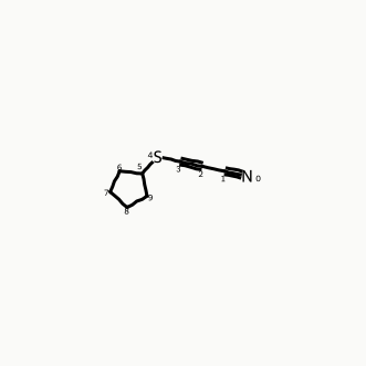 N#CC#CSC1CCCC1